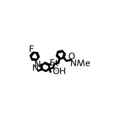 CCC1=Cc2c(cnn2-c2ccc(F)cc2)CC1(C)[C@@H](O)CCc1ccccc1CC(=O)NC